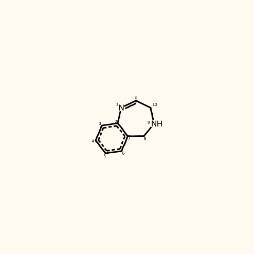 [C]1=Nc2ccccc2CNC1